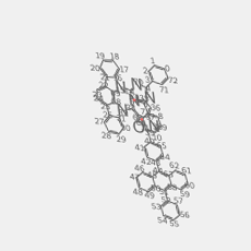 c1ccc(-c2nc(-c3ccccc3)nc(-n3c4ccccc4c4ccc5c6ccccc6n(-c6cccc7nc(-c8ccc(-c9c%10ccccc%10c(-c%10ccccc%10)c%10ccccc9%10)cc8)oc67)c5c43)n2)cc1